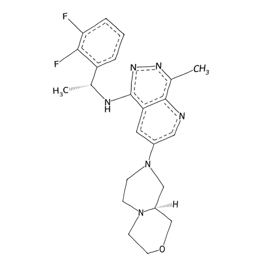 Cc1nnc(N[C@H](C)c2cccc(F)c2F)c2cc(N3CCN4CCOC[C@@H]4C3)cnc12